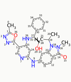 Cc1nnc(-c2cnc(Nc3ccc4c(=O)n(C)n(C(C)C)c4c3)cc2N[C@H](CO)c2ccccc2)o1